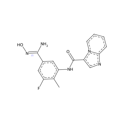 Cc1c(F)cc(/C(N)=N/O)cc1NC(=O)c1cnc2ccccn12